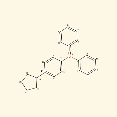 c1ccc([SH](c2ccccc2)c2ccc(C3CCCC3)cc2)cc1